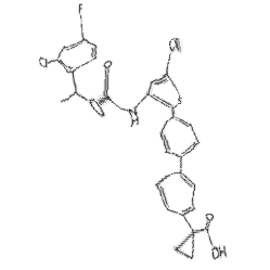 CC(OC(=O)Nc1cc(Cl)sc1-c1ccc(-c2ccc(C3(C(=O)O)CC3)cc2)cc1)c1ccc(F)cc1Cl